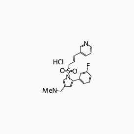 CNCc1cc(-c2cccc(F)c2)n(S(=O)(=O)CC=Cc2cccnc2)c1.Cl